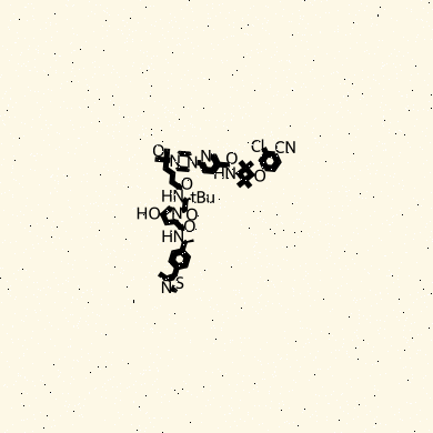 Cc1ncsc1-c1ccc([C@H](C)NC(=O)C2C[C@@H](O)CN2C(=O)[C@@H](NC(=O)CCCC2(N3CCN(c4ccc(C(=O)N[C@H]5C(C)(C)[C@H](Oc6ccc(C#N)c(Cl)c6)C5(C)C)cn4)CC3)COC2)C(C)(C)C)cc1